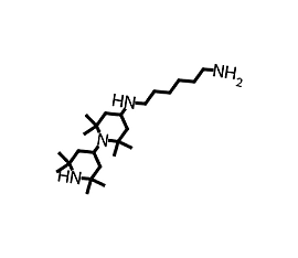 CC1(C)CC(N2C(C)(C)CC(NCCCCCCN)CC2(C)C)CC(C)(C)N1